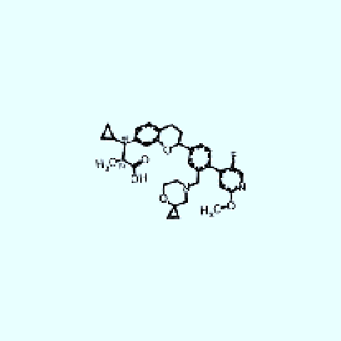 COc1cc(-c2ccc(C3CCc4ccc([C@H](C5CC5)[C@H](C)C(=O)O)cc4O3)cc2CN2CCOC3(CC3)C2)c(F)cn1